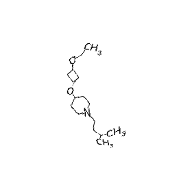 CCO[C@H]1C[C@H](OC2CCN(CCC(C)C)CC2)C1